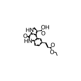 CCOC(=O)C=Cc1ccc2[nH]c(=O)c3[nH]cc(C(=O)O)c3c2c1